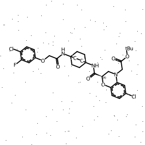 CC(C)(C)OC(=O)CN1C[C@H](C(=O)NC23CCC(NC(=O)COc4ccc(Cl)c(F)c4)(CC2)CC3)Oc2ccc(Cl)cc21